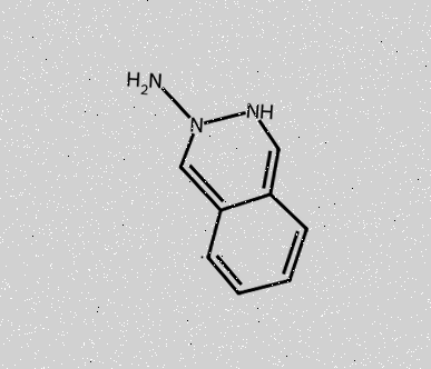 NN1C=c2[c]cccc2=CN1